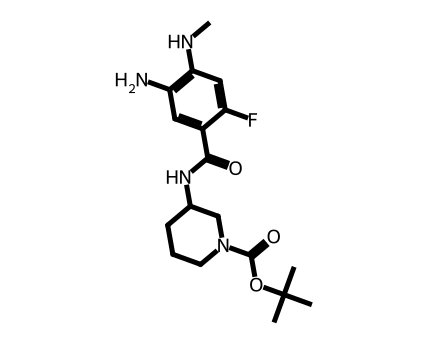 CNc1cc(F)c(C(=O)NC2CCCN(C(=O)OC(C)(C)C)C2)cc1N